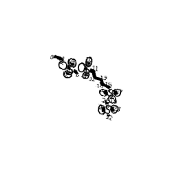 CCOS(=O)(=O)COS(=O)(=O)CCCCCS(=O)(=O)OCS(C)(=O)=O